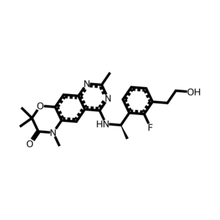 Cc1nc(N[C@H](C)c2cccc(CCO)c2F)c2cc3c(cc2n1)OC(C)(C)C(=O)N3C